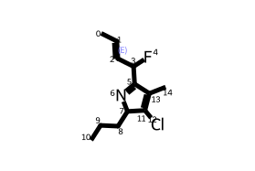 C/C=C/C(F)C1=NC(CCC)C(Cl)=C1C